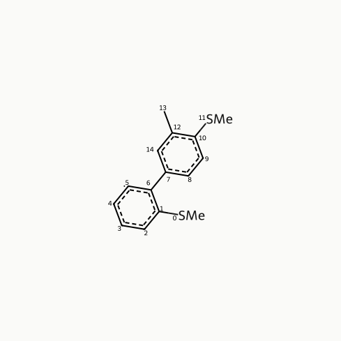 CSc1ccc[c]c1-c1ccc(SC)c(C)c1